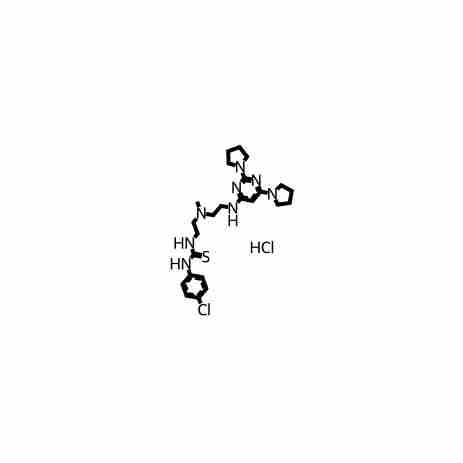 CN(CCNC(=S)Nc1ccc(Cl)cc1)CCNc1cc(N2CCCC2)nc(N2CCCC2)n1.Cl